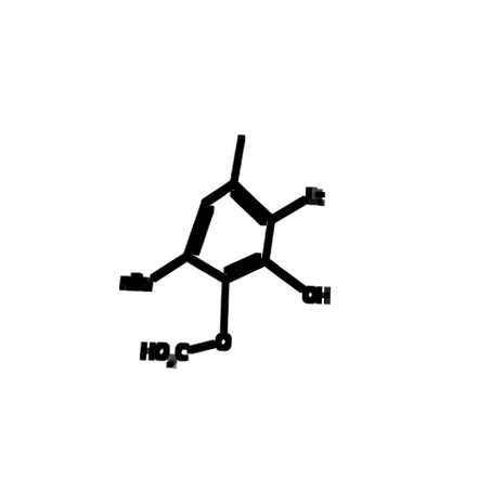 CCCCc1cc(C)c(CC)c(O)c1OC(=O)O